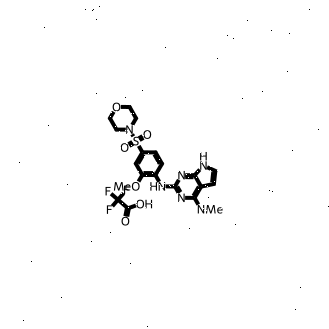 CNc1nc(Nc2ccc(S(=O)(=O)N3CCOCC3)cc2OC)nc2[nH]ccc12.O=C(O)C(F)(F)F